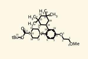 COCCOc1ccc(N2CCN(C(=O)OC(C)(C)C)CC2)c(C2CC(C)(C)CC(C)(C)C2)c1